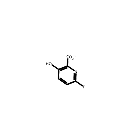 O=C(O)c1nc(F)ccc1O